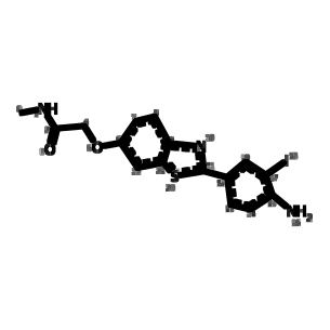 CNC(=O)COc1ccc2nc(-c3ccc(N)c(I)c3)sc2c1